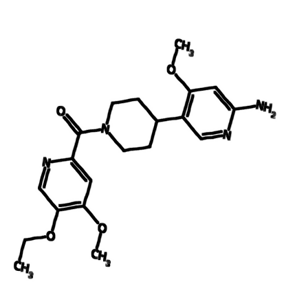 CCOc1cnc(C(=O)N2CCC(c3cnc(N)cc3OC)CC2)cc1OC